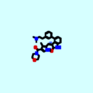 Cc1c(C(=O)N2CCOCC2)c[nH]c1/C=C1\C(=O)Nc2cccc(-c3cccc(CCN(C)C)c3)c21